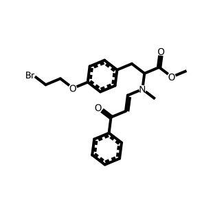 COC(=O)C(Cc1ccc(OCCBr)cc1)N(C)C=CC(=O)c1ccccc1